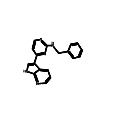 c1ccc(CNc2nccc(-c3c[nH]c4ncccc34)n2)cc1